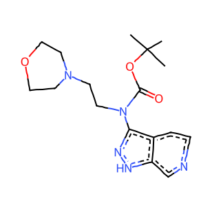 CC(C)(C)OC(=O)N(CCN1CCOCC1)c1n[nH]c2cnccc12